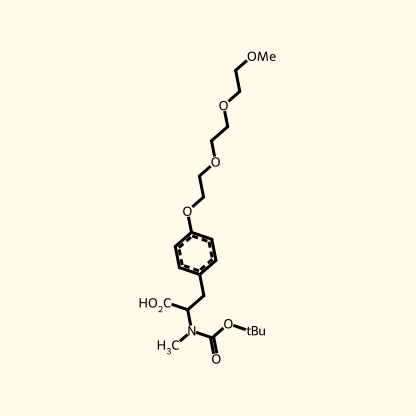 COCCOCCOCCOc1ccc(CC(C(=O)O)N(C)C(=O)OC(C)(C)C)cc1